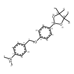 C[SiH](C)c1ccc(COc2ccc(B3OC(C)(C)C(C)(C)O3)cc2)cc1